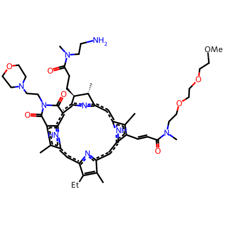 CCC1=C(C)c2cc3[nH]c(cc4nc(c5c6[nH]c(cc1n2)c(C)c6C(=O)N(CCN1CCOCC1)C5=O)[C@@H](CCC(=O)N(C)CCN)[C@@H]4C)c(C)c3/C=C/C(=O)N(C)CCOCCOCCOC